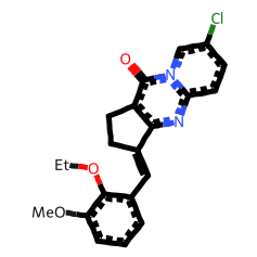 CCOc1c(/C=C2\CCc3c2nc2ccc(Cl)cn2c3=O)cccc1OC